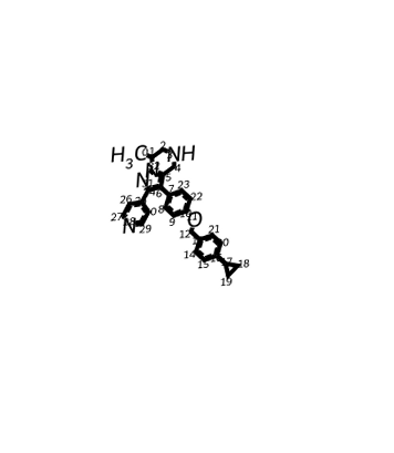 CC1CNCc2c(-c3ccc(OCc4ccc(C5CC5)cc4)cc3)c(-c3ccncc3)nn21